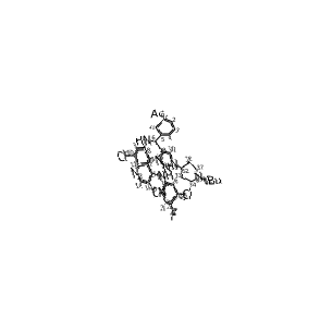 CC(=O)c1cccc([C@H](Nc2cc(Cl)c3ncc(C#N)c(Nc4ccc(F)c(Cl)c4)c3c2)c2cn(C3CCN(C(C)(C)C)CC3)nn2)c1